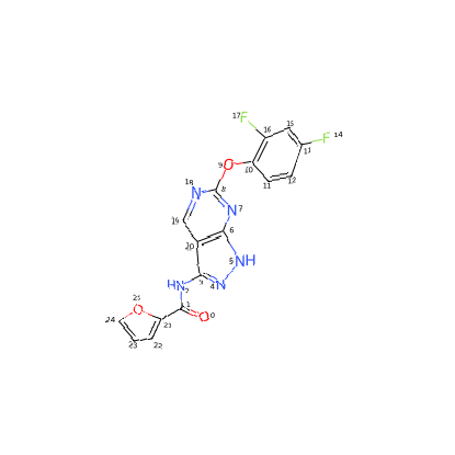 O=C(Nc1n[nH]c2nc(Oc3ccc(F)cc3F)ncc12)c1ccco1